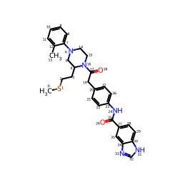 CSCCC1CN(c2ccccc2C)CCN1C(=O)Cc1ccc(NC(=O)c2ccc3[nH]cnc3c2)cc1